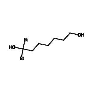 CCC(O)(CC)CCCCCCO